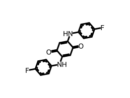 O=C1C=C(Nc2ccc(F)cc2)C(=O)C=C1Nc1ccc(F)cc1